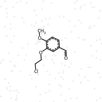 COc1ccc(C=O)cc1OCCCl